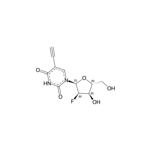 C#Cc1cn([C@H]2O[C@H](CO)[C@@H](O)[C@H]2F)c(=O)[nH]c1=O